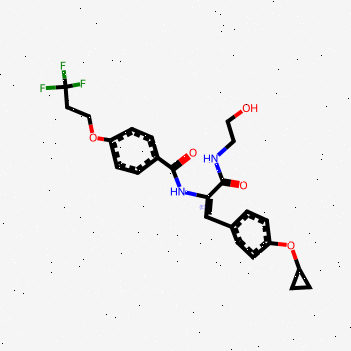 O=C(NCCO)/C(=C\c1ccc(OC2CC2)cc1)NC(=O)c1ccc(OCCC(F)(F)F)cc1